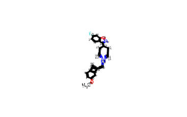 COc1ccc2c(c1)C(CN1CCC(c3noc4cc(F)ccc34)CC1)=C2